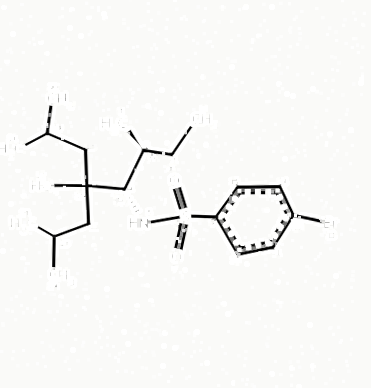 CC[C@H](C)[C@H](NS(=O)(=O)c1ccc(Br)cc1)C(O)(CC(C)C)CC(C)C